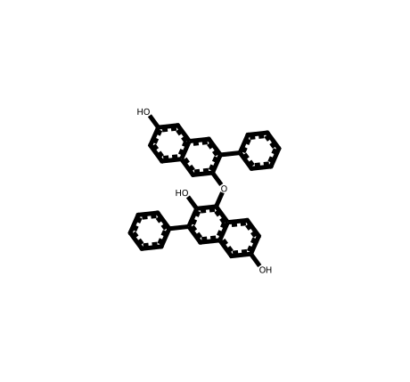 Oc1ccc2cc(Oc3c(O)c(-c4ccccc4)cc4cc(O)ccc34)c(-c3ccccc3)cc2c1